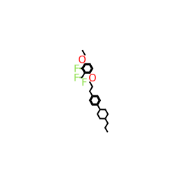 CCCC1CCC(c2ccc(CCCOc3ccc(OCC)c(F)c3C(F)F)cc2)CC1